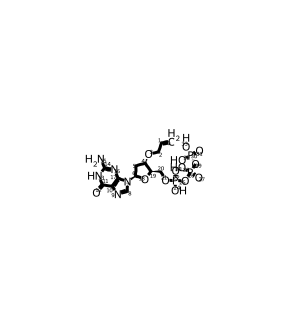 C=CCO[C@H]1C[C@H](n2cnc3c(=O)[nH]c(N)nc32)O[C@@H]1COP(=O)(O)OP(=O)(O)OP(=O)(O)O